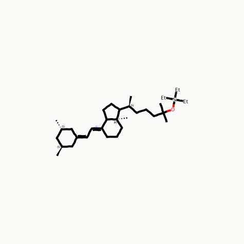 CC[Si](CC)(CC)OC(C)(C)CCC[C@H](C)C1CCC2/C(=C/C=C3C[C@@H](C)C[C@H](C)C3)CCC[C@@]21C